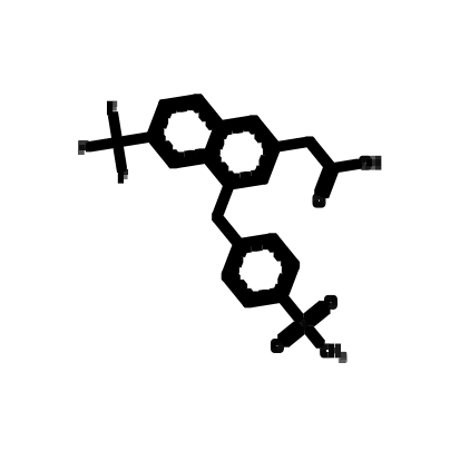 CS(=O)(=O)c1ccc(Cc2cc(CC(=O)O)cc3ccc(C(F)(F)F)cc23)cc1